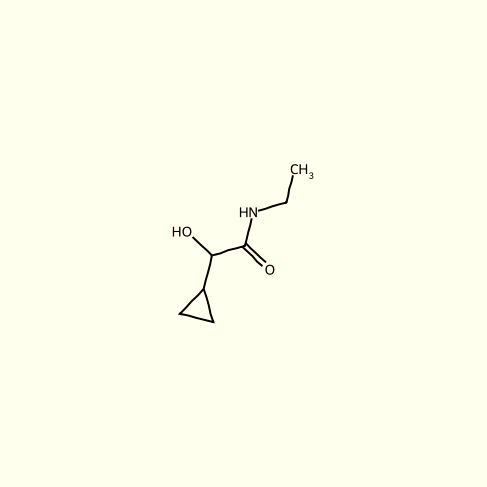 CCNC(=O)C(O)C1CC1